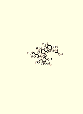 NCC(O)C(O)C(=O)N[C@@H]1C[C@H](N)C(O[C@H]2O[C@H](CNCCO)[C@@H](O)C[C@H]2N)[C@H](O)[C@H]1O[C@H]1O[C@H](CO)[C@@H](O)[C@H](N)[C@H]1O